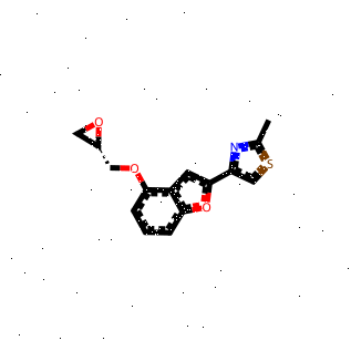 Cc1nc(-c2cc3c(OC[C@@H]4CO4)cccc3o2)cs1